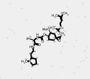 CO[C@H]1[C@H](C(C)(C)OCC=C(C)C)[C@]2(CC[C@H]1OC(=O)N[C@@H](C(=O)NCCC1CCCN1C)C(C)C)CO2